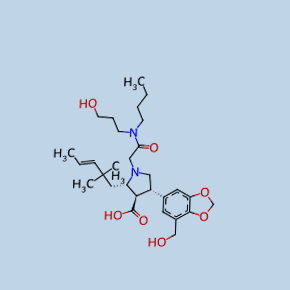 C/C=C/C(C)(C)C[C@H]1[C@H](C(=O)O)[C@@H](c2cc(CO)c3c(c2)OCO3)CN1CC(=O)N(CCCC)CCCO